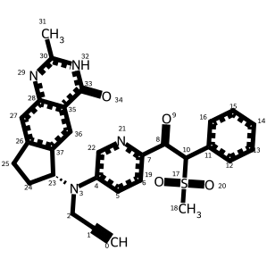 C#CCN(c1ccc(C(=O)C(c2ccccc2)S(C)(=O)=O)nc1)[C@@H]1CCc2cc3nc(C)[nH]c(=O)c3cc21